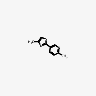 Cc1ccc(-c2nc(C)cs2)cn1